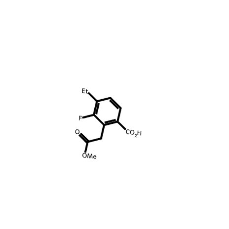 CCc1ccc(C(=O)O)c(CC(=O)OC)c1F